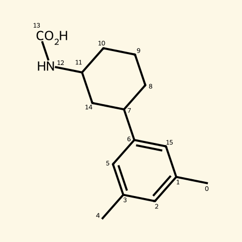 Cc1cc(C)cc(C2CCCC(NC(=O)O)C2)c1